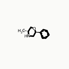 C[C@@H]1CO[C@@H](c2ccccc2)CN1